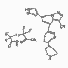 N#Cc1cnn2cc(-c3cn[nH]c3)cc(-c3ccc(N4CCNCC4)nc3)c12.O=C(O)C(F)(F)F.O=C(O)C(F)(F)F